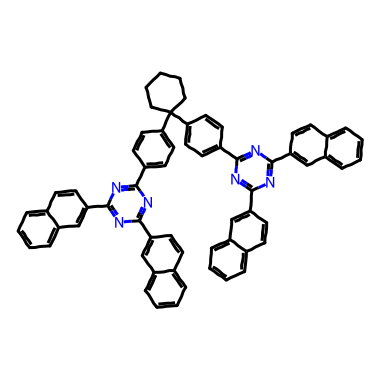 c1ccc2cc(-c3nc(-c4ccc(C5(c6ccc(-c7nc(-c8ccc9ccccc9c8)nc(-c8ccc9ccccc9c8)n7)cc6)CCCCC5)cc4)nc(-c4ccc5ccccc5c4)n3)ccc2c1